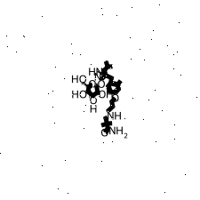 Cc1cc(OCCCNCC(C)(C)C(N)=O)ccc1Cc1c(OC2O[C@H](CO)[C@@H](O)[C@H](O)[C@H]2O)n[nH]c1C(C)C